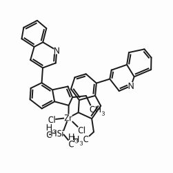 CCC1=Cc2c(-c3cnc4ccccc4c3)cccc2[CH]1[Zr]([Cl])([Cl])([CH]1C(CC)=Cc2c(-c3cnc4ccccc4c3)cccc21)[SiH](C)C